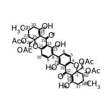 CC(=O)OC[C@]12Oc3ccc(-c4ccc5c(c4O)C(=O)C4=C(O)C[C@@H](C)[C@@H](OC(C)=O)[C@@]4(COC(C)=O)O5)c(O)c3C(=O)C1=C(O)C[C@@H](C)[C@H]2OC(C)=O